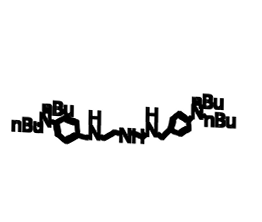 CCCCN(CCCC)c1ccc(CNCCNCCNCc2ccc(N(CCCC)CCCC)cc2)cc1